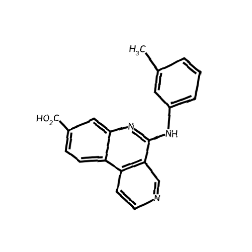 Cc1cccc(Nc2nc3cc(C(=O)O)ccc3c3ccncc23)c1